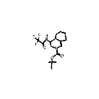 CC(C)(C)OC(=O)N1CC2CCCCC2C(NC(=O)C(F)(F)F)C1